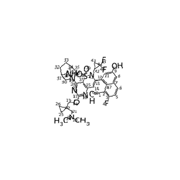 C#Cc1c(F)ccc2cc(O)cc(C3=Cc4nc(OCC5(CN(C)C)CC5)nc(N5CC6CCC(C5)N6)c4S(=O)(=O)N3C3CC3(F)F)c12